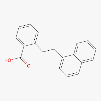 O=C(O)c1ccccc1CCc1cccc2ccccc12